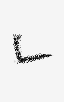 O.O=P([O-])([O-])[O-].O=P([O-])([O-])[O-].O=P([O-])([O-])[O-].O=P([O-])([O-])[O-].O=P([O-])([O-])[O-].O=P([O-])([O-])[O-].O=P([O-])([O-])[O-].O=P([O-])([O-])[O-].O=P([O-])([O-])[O-].O=P([O-])([O-])[O-].O=P([O-])([O-])[O-].[Al+3].[Al+3].[Al+3].[Mo+6].[Mo+6].[Mo+6].[Zn+2].[Zn+2].[Zn+2]